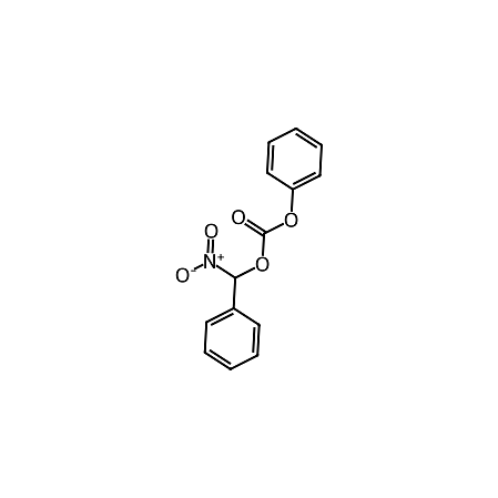 O=C(Oc1ccccc1)OC(c1ccccc1)[N+](=O)[O-]